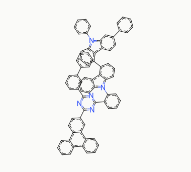 c1ccc(-c2cccc(-c3nc(-c4ccc5c6ccccc6c6ccccc6c5c4)nc(-c4ccccc4-n4c5ccccc5c5c(-c6cccc7c6c6ccc(-c8ccccc8)cc6n7-c6ccccc6)cccc54)n3)c2)cc1